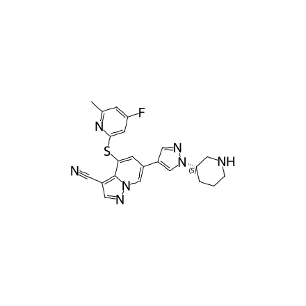 Cc1cc(F)cc(Sc2cc(-c3cnn([C@H]4CCCNC4)c3)cn3ncc(C#N)c23)n1